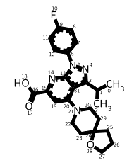 CC(C)c1nn(-c2ccc(F)cc2)c2nc(C(=O)O)cc(N3CCC4(CCCO4)CC3)c12